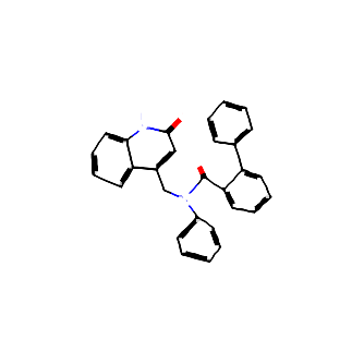 O=C(c1ccccc1-c1ccccc1)N(Cc1cc(=O)[nH]c2ccccc12)c1ccccc1